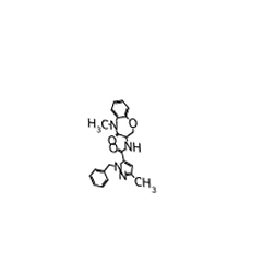 Cc1cc(C(=O)NC2COc3ccccc3N(C)C2=O)n(Cc2ccccc2)n1